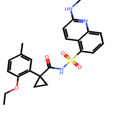 CCOc1ccc(C)cc1C1(C(=O)NS(=O)(=O)c2cccc3nc(NC)ccc23)CC1